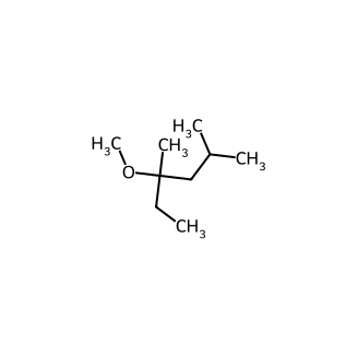 CCC(C)(CC(C)C)OC